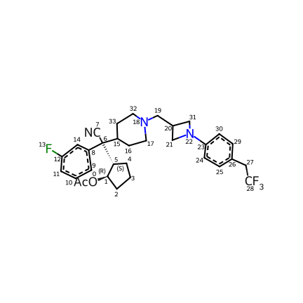 CC(=O)O[C@@H]1CCC[C@H]1C(C#N)(c1cccc(F)c1)C1CCN(CC2CN(c3ccc(CC(F)(F)F)cc3)C2)CC1